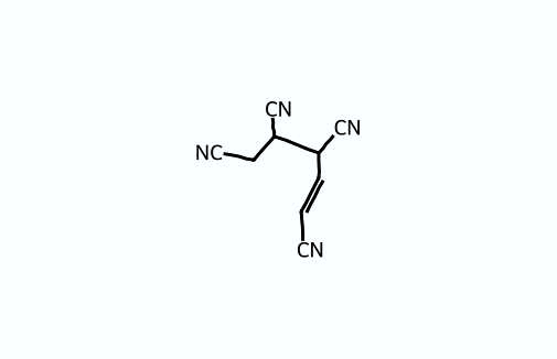 N#CC=CC(C#N)C(C#N)CC#N